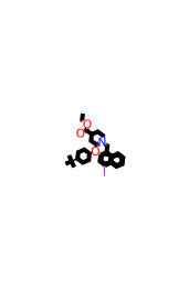 CCOC(=O)C1CCN(Cc2c(O[C@H]3CC[C@H](C(C)(C)C)CC3)cc(I)c3ccccc23)CC1